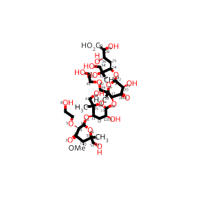 CO[C@@H]1C(=O)[C@H](OCCO)C(O[C@@H]2C[C@H](O)C(O[C@@H]3C(=O)[C@H](O)C(O[C@H](C[C@H](O)C(O)C(=O)O)C(C)(O)CO)OC3(C)COCCO)OC2(C)CO)OC1(C)CO